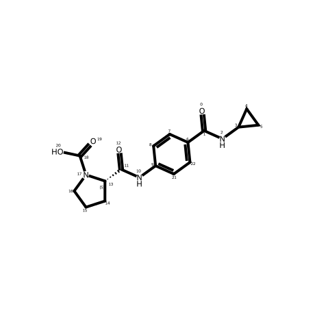 O=C(NC1CC1)c1ccc(NC(=O)[C@@H]2CCCN2C(=O)O)cc1